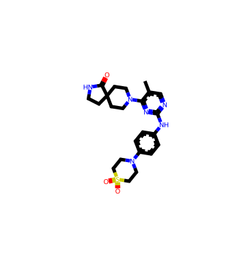 Cc1cnc(Nc2ccc(N3CCS(=O)(=O)CC3)cc2)nc1N1CCC2(CCNC2=O)CC1